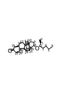 C#CC(CCCC)OC1CC[C@H]2[C@@H]3CCC4=CC(=O)C=C[C@]4(C)C3=CC[C@]12C